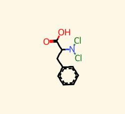 O=C(O)C(Cc1ccccc1)N(Cl)Cl